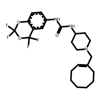 O=C(Nc1ccc2c(c1)C(F)(F)OC(F)(F)O2)NC1CCN(CC2=CCCCCCC2)CC1